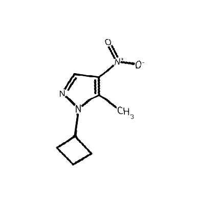 Cc1c([N+](=O)[O-])cnn1C1CCC1